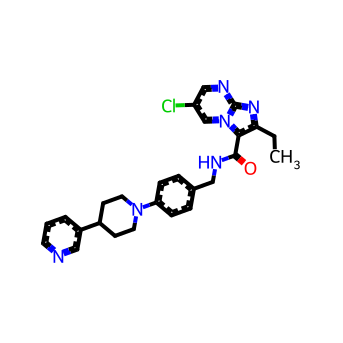 CCc1nc2ncc(Cl)cn2c1C(=O)NCc1ccc(N2CCC(c3cccnc3)CC2)cc1